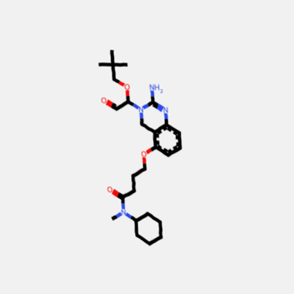 CN(C(=O)CCCOc1cccc2c1CN(C(C=O)OCC(C)(C)C)C(N)=N2)C1CCCCC1